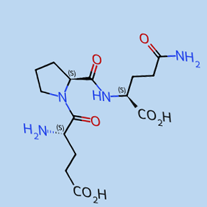 NC(=O)CC[C@H](NC(=O)[C@@H]1CCCN1C(=O)[C@@H](N)CCC(=O)O)C(=O)O